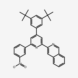 CC(C)(C)c1cc(-c2cc(-c3cccc([N+](=O)[O-])c3)nc(-c3cc4ccccc4cn3)c2)cc(C(C)(C)C)c1